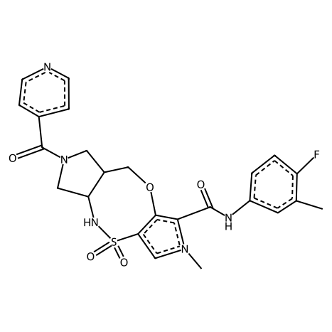 Cc1cc(NC(=O)c2c3c(cn2C)S(=O)(=O)NC2CN(C(=O)c4ccncc4)CC2CO3)ccc1F